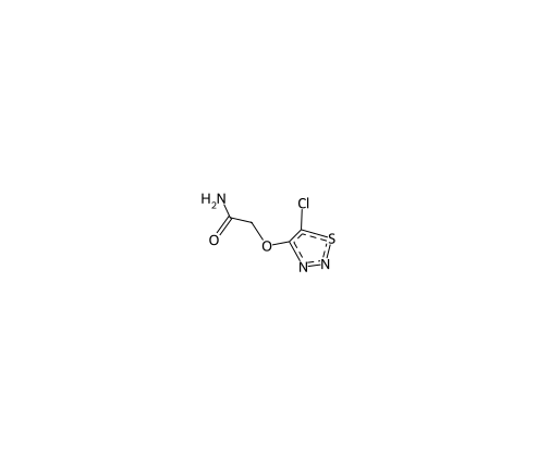 NC(=O)COc1nnsc1Cl